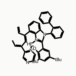 C=CC1=C2/C(=C\C)c3cncc[n+]3[PH]23Oc2c(cc(C(C)(C)C)cc2C(C)(C)C)-c2n(-c4ccccc4-c4ccccc4)c4cccc1c4[n+]23